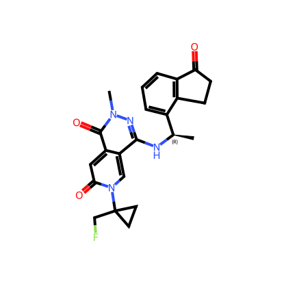 C[C@@H](Nc1nn(C)c(=O)c2cc(=O)n(C3(CF)CC3)cc12)c1cccc2c1CCC2=O